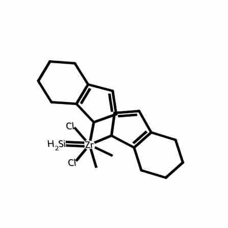 [CH3][Zr]([CH3])(=[SiH2])([Cl])([Cl])([CH]1C=CC2=C1CCCC2)[CH]1C=CC2=C1CCCC2